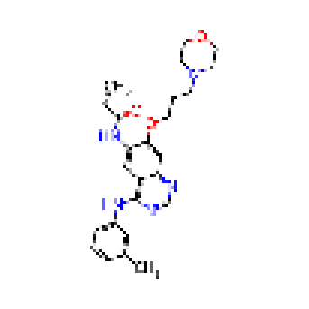 C=CC(=O)Nc1cc2c(Nc3cccc(C)c3)ncnc2cc1OCCCN1CCOCC1